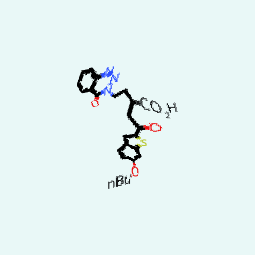 CCCCOc1ccc2cc(C(=O)CC(CCn3nnc4ccccc4c3=O)C(=O)O)sc2c1